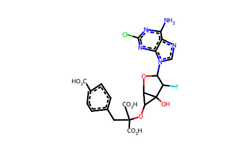 Nc1nc(Cl)nc2c1ncn2C1OC2C(OC(Cc3ccc(C(=O)O)cc3)(C(=O)O)C(=O)O)C2(O)C1F